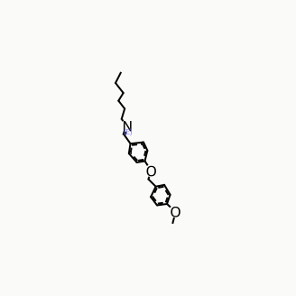 CCCCCC/N=C/c1ccc(OCc2ccc(OC)cc2)cc1